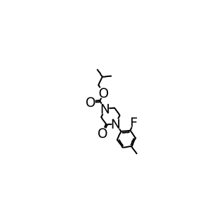 Cc1ccc(N2CCN(C(=O)OCC(C)C)CC2=O)c(F)c1